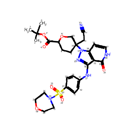 CC(C)(C)OC(=O)C1CCC(CC#N)(n2nc(Nc3ccc(S(=O)(=O)N4CCOCC4)cc3)c3c(=O)[nH]ccc32)CO1